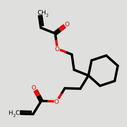 C=CC(=O)OCCC1(CCOC(=O)C=C)CCCCC1